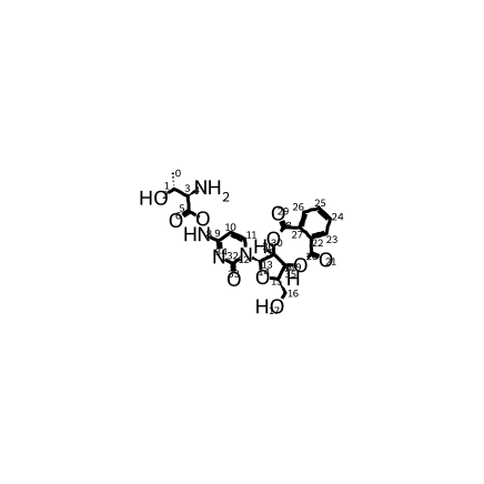 C[C@@H](O)[C@@H](N)C(=O)ONc1ccn([C@@H]2O[C@H](CO)[C@H]3OC(=O)c4ccccc4C(=O)O[C@H]32)c(=O)n1